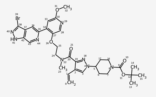 C=Cc1cn(C2CCN(C(=O)OC(C)(C)C)CC2)nc1C(=O)N(C)CCOc1cnc(OC)cc1-c1cc2c(Br)n[nH]c2cn1